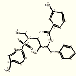 CCC(C)CN(CC(O)C(Cc1ccccc1)NC(=O)c1cccc(O)c1)S(=O)(=O)c1ccc(OC)cc1